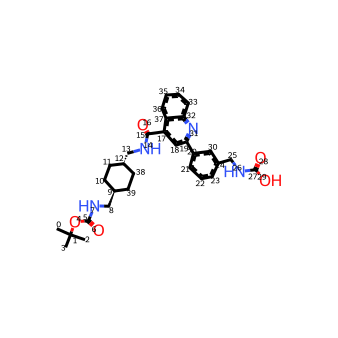 CC(C)(C)OC(=O)NC[C@H]1CC[C@H](CNC(=O)c2cc(-c3cccc(CNC(=O)O)c3)nc3ccccc23)CC1